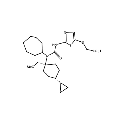 COC[C@]1(N(C(=O)Nc2ncc(SCC(=O)O)s2)C2CCCCCC2)CC[C@H](C2CC2)CC1